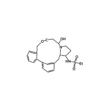 CCS(=O)(=O)NC1CCN2C(O)CCOCc3ccccc3-c3cccc(c3)CC12